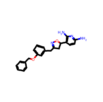 Nc1ccc(C2CC(Cc3cccc(OCc4ccccc4)c3)=NO2)c(N)n1